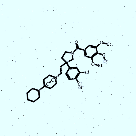 CCOc1cc(C(=O)N2CCC(CC[N+]34CCC(C5CCCCC5)(CC3)CC4)(c3ccc(Cl)c(Cl)c3)C2)cc(OCC)c1OCC.[Cl-]